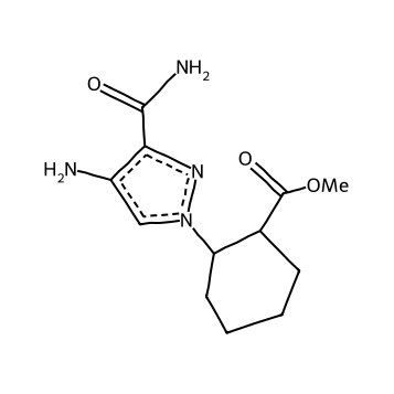 COC(=O)C1CCCCC1n1cc(N)c(C(N)=O)n1